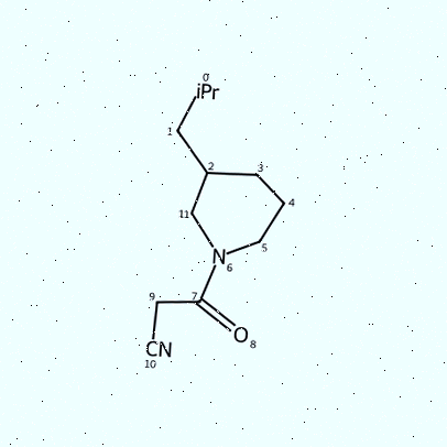 CC(C)CC1CCCN(C(=O)CC#N)C1